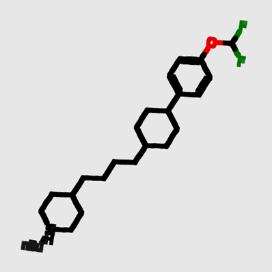 CCCC[SiH]1CCC(CCCCC2CCC(c3ccc(OC(F)F)cc3)CC2)CC1